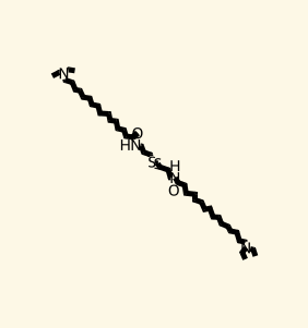 CCN(CC)CCCCCCCCCCCCCCCC(=O)NCCCSSCCCNC(=O)CCCCCCCCCCCCCCCN(CC)CC